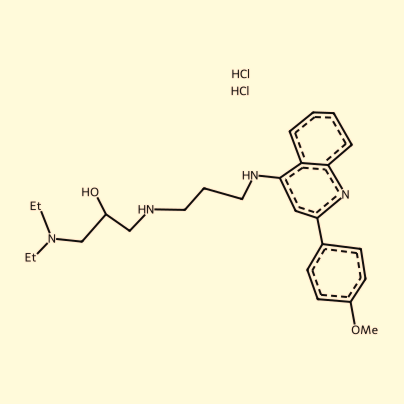 CCN(CC)CC(O)CNCCCNc1cc(-c2ccc(OC)cc2)nc2ccccc12.Cl.Cl